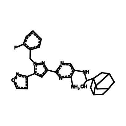 Nc1nc(-c2cc(-c3ccon3)n(Cc3ccccc3F)n2)ncc1NC(O)C12CC3CC(CC(C3)C1)C2